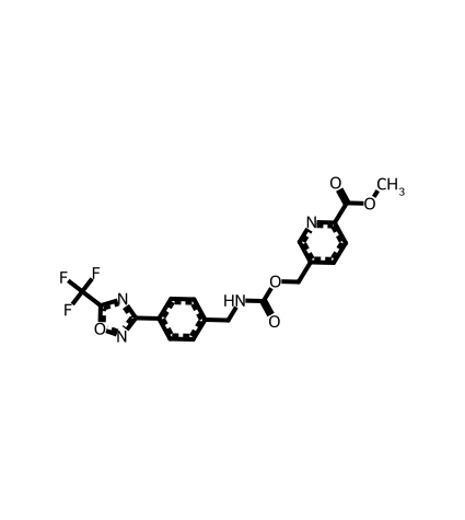 COC(=O)c1ccc(COC(=O)NCc2ccc(-c3noc(C(F)(F)F)n3)cc2)cn1